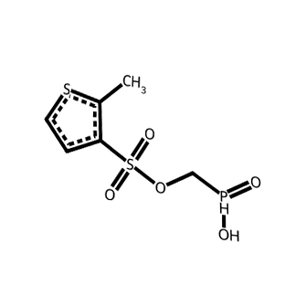 Cc1sccc1S(=O)(=O)OC[PH](=O)O